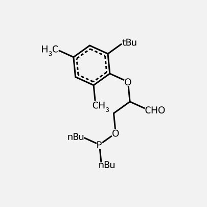 CCCCP(CCCC)OCC(C=O)Oc1c(C)cc(C)cc1C(C)(C)C